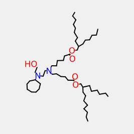 CCCCCCCCC(CCCCCC)COC(=O)CCCCCN(CCCCCC(=O)OCC(CCCCCC)CCCCCCCC)CCN(CCO)C1CCCCCCC1